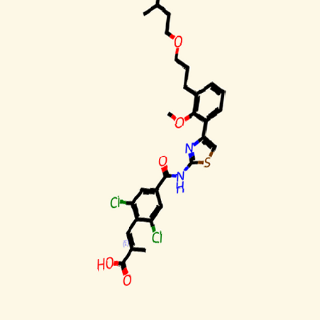 COc1c(CCCOCCC(C)C)cccc1-c1csc(NC(=O)c2cc(Cl)c(/C=C(\C)C(=O)O)c(Cl)c2)n1